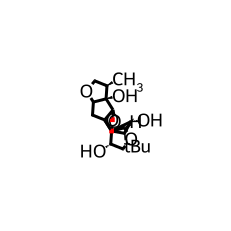 C[C@@H]1COC2CC34C5OC[C@]3(O[C@@H]3OC[C@H](O)C34[C@H](C(C)(C)C)[C@H]5O)[C@]21O